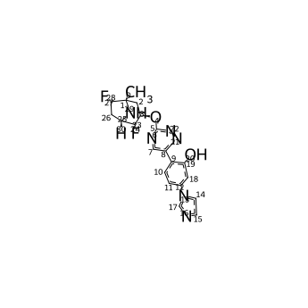 C[C@]12C[C@@H](Oc3ncc(-c4ccc(-n5ccnc5)cc4O)nn3)[C@H](F)[C@H](C[C@@H]1F)N2